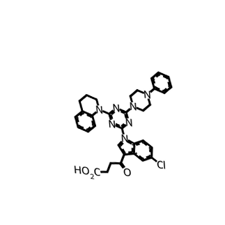 O=C(O)CCC(=O)c1cn(-c2nc(N3CCN(c4ccccc4)CC3)nc(N3CCCc4ccccc43)n2)c2ccc(Cl)cc12